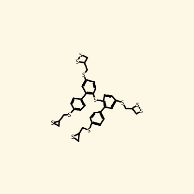 c1cc(-c2cc(SCC3CSS3)ccc2Sc2ccc(SCC3CSS3)cc2-c2ccc(SCC3CS3)cc2)ccc1SCC1CS1